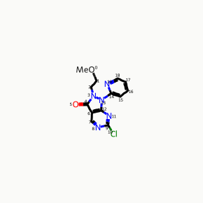 COCCn1c(=O)c2cnc(Cl)nc2n1-c1ccccn1